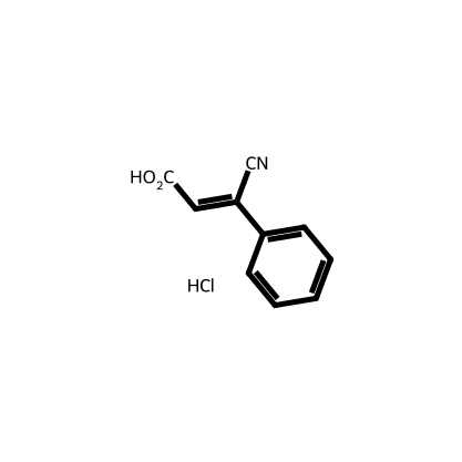 Cl.N#CC(=CC(=O)O)c1ccccc1